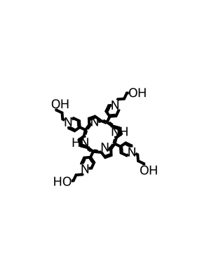 OCCCN1C=CC(c2c3nc(c(C4=CCN(CCCO)C=C4)c4ccc([nH]4)c(C4=CCN(CCCO)C=C4)c4nc(c(C5=CCN(CCCO)C=C5)c5ccc2[nH]5)C=C4)C=C3)=CC1